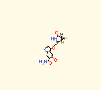 COc1cc2c(OCC[C@H]3NC(=O)[C@@H]4[C@@H](F)[C@@H]43)ccnc2cc1C(N)=O